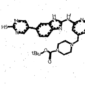 CC(C)(C)OC(=O)N1CCN(Cc2ccnc(Nc3nc4ccc(-c5cnc(S)nc5)cc4[nH]3)c2)CC1